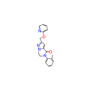 Cc1ccccc1N1CCn2nc(COc3ccccn3)cc2C1=O